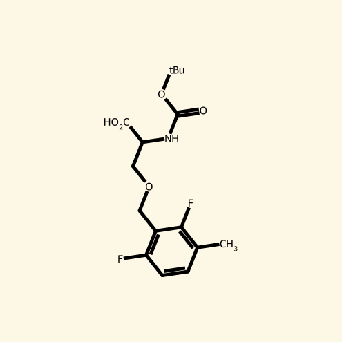 Cc1ccc(F)c(COCC(NC(=O)OC(C)(C)C)C(=O)O)c1F